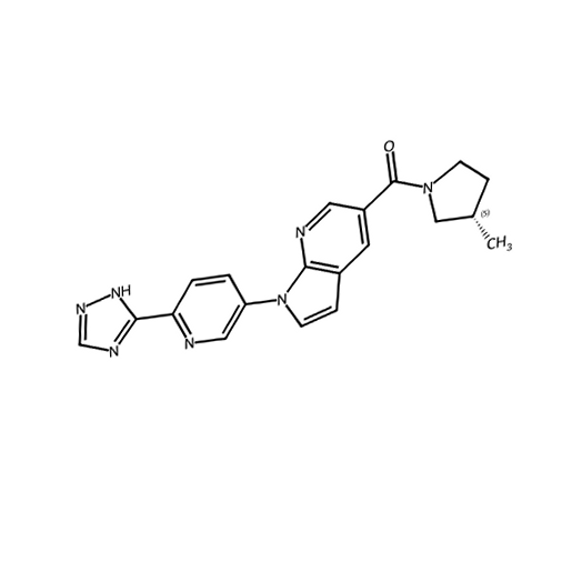 C[C@H]1CCN(C(=O)c2cnc3c(ccn3-c3ccc(-c4ncn[nH]4)nc3)c2)C1